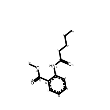 CCCCC(=O)Nc1ccccc1C(=O)OC